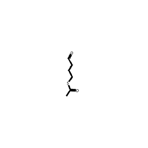 CC(=O)SCC[CH]C=O